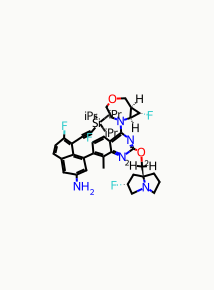 [2H]C([2H])(Oc1nc(N2CCOC[C@H]3[C@H](F)[C@H]32)c2cc(F)c(-c3cc(N)cc4ccc(F)c(C#C[Si](C(C)C)(C(C)C)C(C)C)c34)c(C)c2n1)[C@@]12CCCN1C[C@H](F)C2